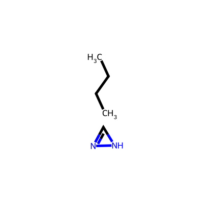 C1=NN1.CCCC